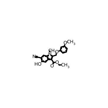 CCOC(=O)c1c(COc2cccc(OC)c2)n(C)c2cc(C#N)c(O)cc12